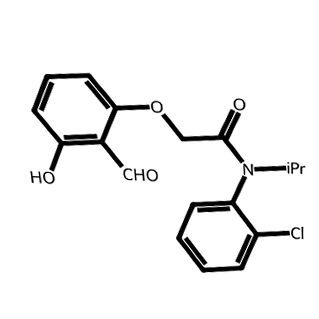 CC(C)N(C(=O)COc1cccc(O)c1C=O)c1ccccc1Cl